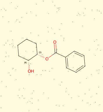 O=C(O[C@H]1CCCC[C@H]1O)c1ccccc1